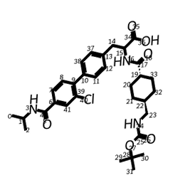 CC(C)NC(=O)c1ccc(-c2ccc(CC(NC(=O)[C@H]3CC[C@H](CNC(=O)OC(C)(C)C)CC3)C(=O)O)cc2)c(Cl)c1